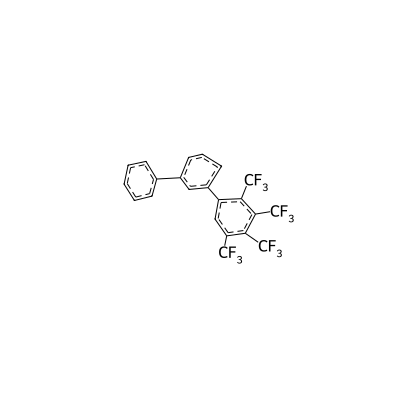 FC(F)(F)c1cc(-c2cccc(-c3ccccc3)c2)c(C(F)(F)F)c(C(F)(F)F)c1C(F)(F)F